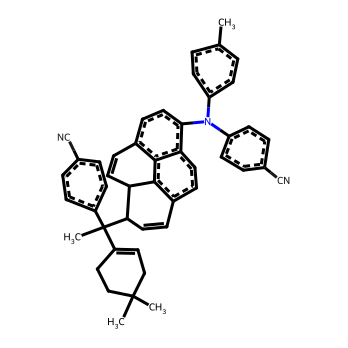 Cc1ccc(N(c2ccc(C#N)cc2)c2ccc3c4c5c(ccc24)C=CC(C(C)(C2=CCC(C)(C)CC2)c2ccc(C#N)cc2)C5C=C3)cc1